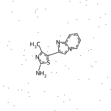 Cc1nc(N)sc1-c1cn2ccccc2n1